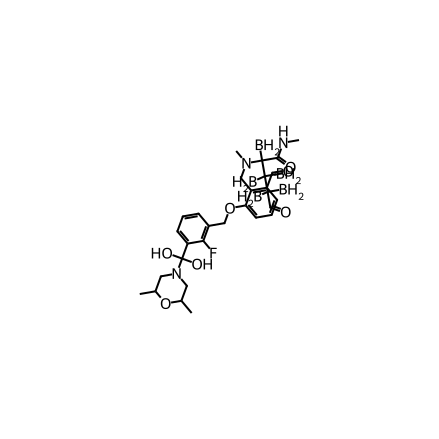 BC(B)(C=O)C(B)(B)C(B)(C(=O)NC)N(C)Cc1c(C=O)cccc1OCc1cccc(C(O)(O)N2CC(C)OC(C)C2)c1F